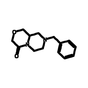 O=C1COCC2CN(Cc3ccccc3)CCN12